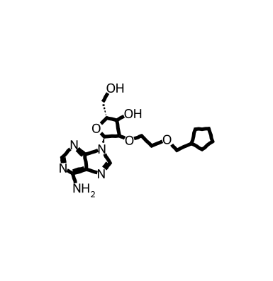 Nc1ncnc2c1ncn2[C@@H]1O[C@H](CO)C(O)C1OCCOCC1CCCC1